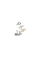 [Cr].[Mo+6].[S-2].[S-2].[S-2]